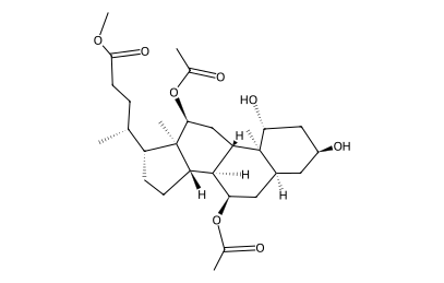 COC(=O)CC[C@@H](C)[C@H]1CC[C@H]2[C@@H]3[C@H](OC(C)=O)C[C@@H]4C[C@H](O)C[C@@H](O)[C@]4(C)[C@H]3C[C@H](OC(C)=O)[C@]12C